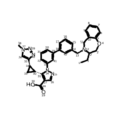 CCC1COc2ccccc2CN1Cc1cccc(-c2cccc(-n3ncc(C(=O)O)c3[C@@H]3C[C@H]3c3cn(C)nn3)c2)c1